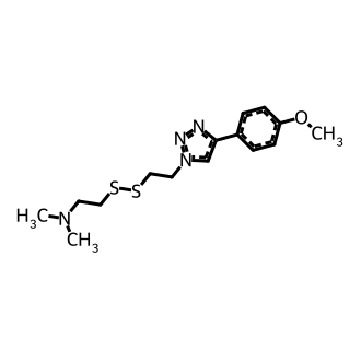 COc1ccc(-c2cn(CCSSCCN(C)C)nn2)cc1